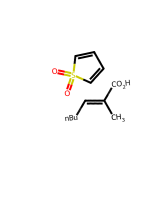 CCCCC=C(C)C(=O)O.O=S1(=O)C=CC=C1